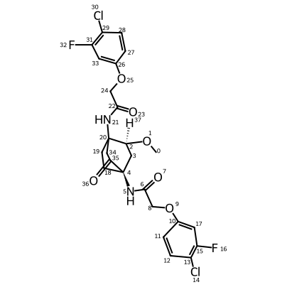 CO[C@H]1C[C@]2(NC(=O)COc3ccc(Cl)c(F)c3)CCC1(NC(=O)COc1ccc(Cl)c(F)c1)CC2=O